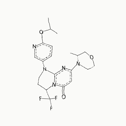 CC(C)Oc1ccc(N2CCC(C(F)(F)F)n3c2nc(N2CCOCC2C)cc3=O)cn1